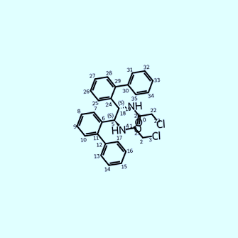 O=C(CCl)N[C@@H](c1ccccc1-c1ccccc1)[C@@H](NC(=O)CCl)c1ccccc1-c1ccccc1